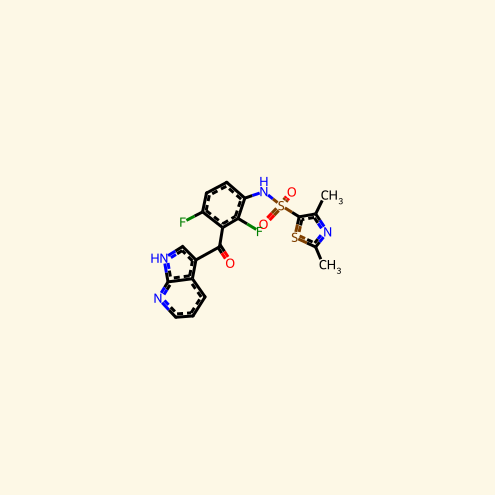 Cc1nc(C)c(S(=O)(=O)Nc2ccc(F)c(C(=O)c3c[nH]c4ncccc34)c2F)s1